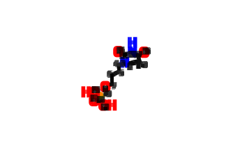 Cc1cn(CCCCOCP(=O)(O)O)c(=O)[nH]c1=O